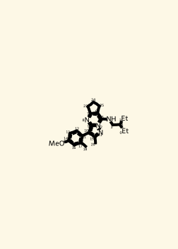 CCC(CC)CNc1c2c(nc3c(-c4ccc(OC)cc4C)c(C)nn13)CCC2